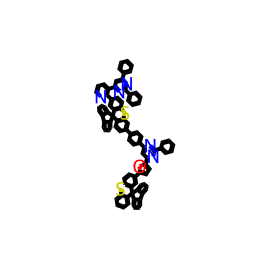 c1ccc(-c2cc(-c3cccnc3-c3ccc4c(c3)C3(c5ccc(-c6ccc(-c7cc(-c8ccc(-c9ccc%10c(c9)C9(c%11ccccc%11S%10)c%10ccccc%10-c%10ccccc%109)o8)nc(-c8ccccc8)n7)cc6)cc5S4)c4ccccc4-c4ccccc43)nc(-c3ccccc3)n2)cc1